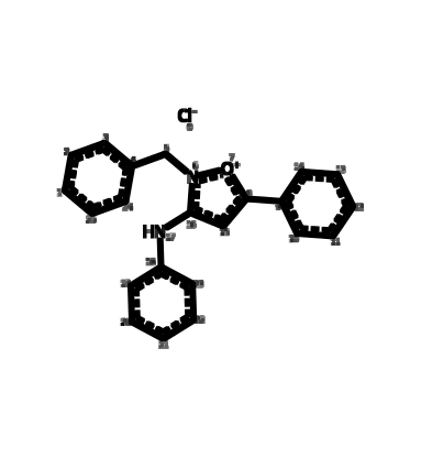 [Cl-].c1ccc(Cn2[o+]c(-c3ccccc3)cc2Nc2ccccc2)cc1